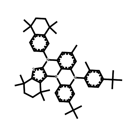 Cc1cc2c3c(c1)N(c1ccc4c(c1)C(C)(C)CCC4(C)C)c1sc4c(c1B3c1ccc(C(C)(C)C)cc1N2c1ccc(C(C)(C)C)cc1C)C(C)(C)CCC4(C)C